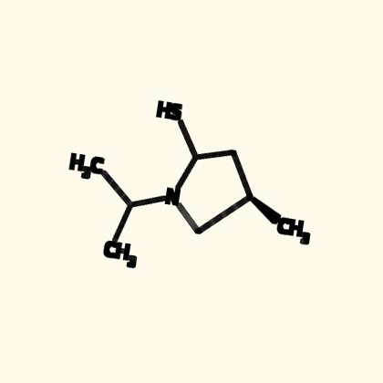 CC(C)N1C[C@H](C)CC1S